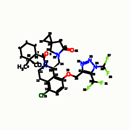 C[C@]1(C(=O)O)CCCC[C@H]1C(=O)N1CCc2c(Cl)ccc(OCc3nnn(C(F)F)c3C(F)F)c2[C@H]1CN1CC2(CC2)CC1=O